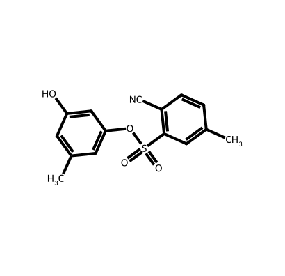 Cc1cc(O)cc(OS(=O)(=O)c2cc(C)ccc2C#N)c1